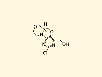 OCc1nc(Cl)nc2c1OC[C@@H]1COCCN21